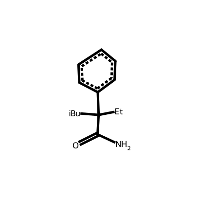 CCC(C)C(CC)(C(N)=O)c1ccccc1